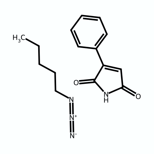 CCCCCN=[N+]=[N-].O=C1C=C(c2ccccc2)C(=O)N1